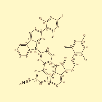 Cc1cc(C)c(-c2ccc3c4ccccc4n(-c4cc(-c5cccc(C#N)c5)c(-n5c6ccccc6c6ccc(-c7c(C)cc(C)cc7C)cc65)cn4)c3c2)c(C)c1